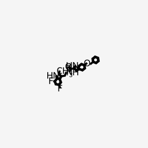 Cc1[nH]c2c(F)cc(F)cc2c1CCNC(=O)c1cc2ccc(OCc3ccccc3)cc2[nH]1